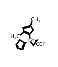 CC1=CC(C)=[C]([Ti+2]2([C]3=CC=CC3)[CH2][CH2]2)C1.[Cl-].[Cl-]